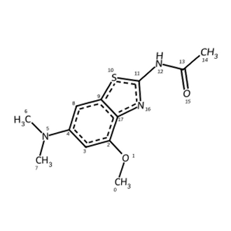 COc1cc(N(C)C)cc2sc(NC(C)=O)nc12